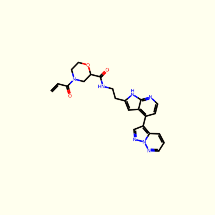 C=CC(=O)N1CCOC(C(=O)NCCc2cc3c(-c4cnn5ncccc45)ccnc3[nH]2)C1